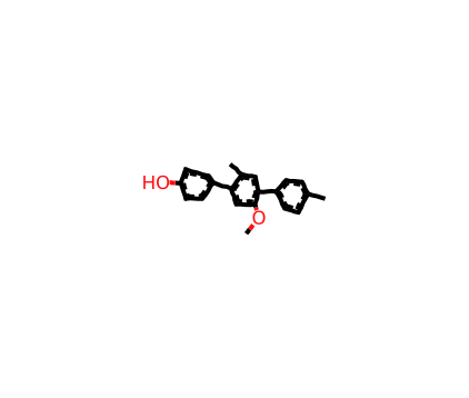 COc1cc(-c2ccc(O)cc2)c(C)cc1-c1ccc(C)cc1